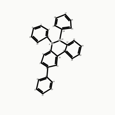 c1ccc(B2c3ccc(-c4ccccc4)cc3-c3ccccc3N2c2ccccc2)cc1